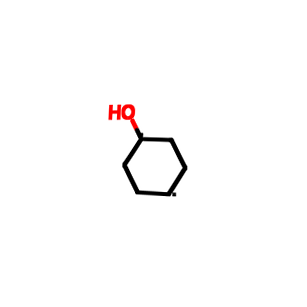 O[C]1CC[CH]CC1